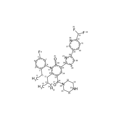 CCc1ccc(F)cc1-n1c(CC(C)C)c(C(=O)N2CCNCC2)cc(-c2nc(-c3ccc(C(F)F)nc3)cs2)c1=O